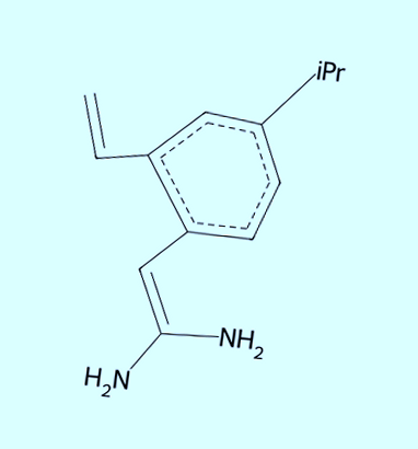 C=Cc1cc(C(C)C)ccc1C=C(N)N